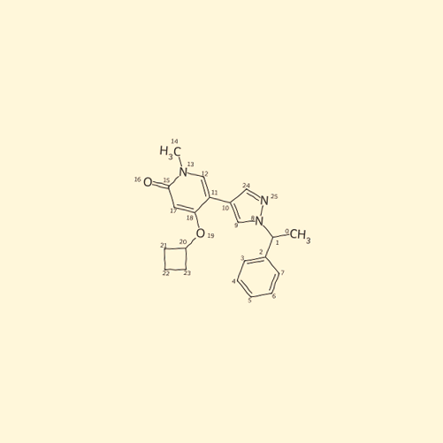 CC(c1ccccc1)n1cc(-c2cn(C)c(=O)cc2OC2CCC2)cn1